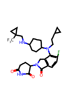 O=C1CCC(N2Cc3c(ccc(F)c3N(CCC3CC3)C3CCC(NCC4(C(F)(F)F)CC4)CC3)C2=O)C(=O)N1